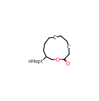 CCCCCCCC1CCCCCCCCC(=O)OC1